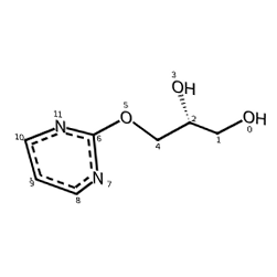 OC[C@@H](O)COc1nc[c]cn1